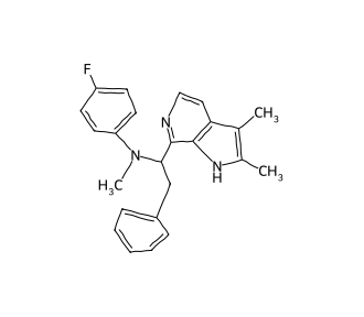 Cc1[nH]c2c(C(Cc3ccccc3)N(C)c3ccc(F)cc3)nccc2c1C